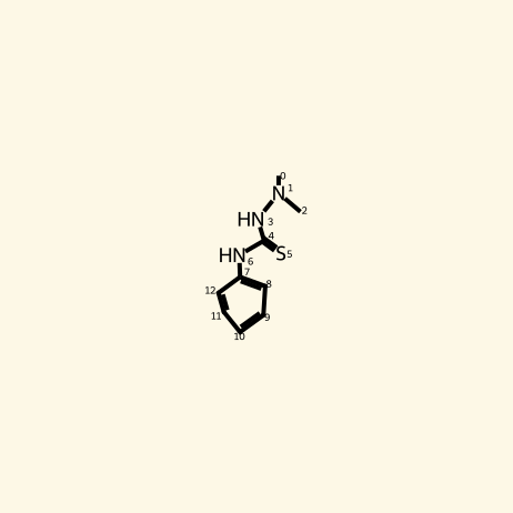 CN(C)NC(=S)Nc1ccccc1